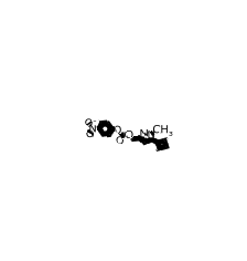 Cn1nc(COC(=O)Oc2ccc([N+](=O)[O-])cc2)cc1C1CCC1